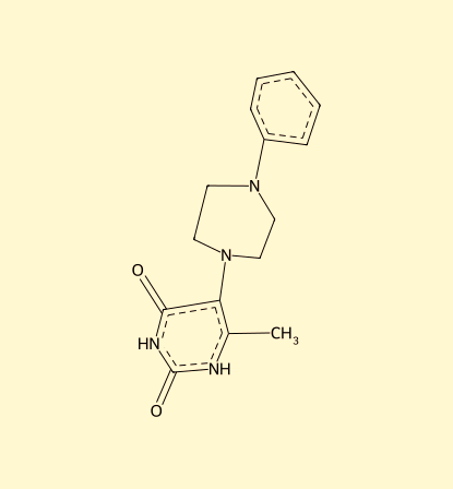 Cc1[nH]c(=O)[nH]c(=O)c1N1CCN(c2ccccc2)CC1